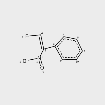 O=[N+]([O-])C(=CF)c1ccccc1